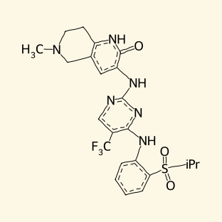 CC(C)S(=O)(=O)c1ccccc1Nc1nc(Nc2cc3c([nH]c2=O)CCN(C)C3)ncc1C(F)(F)F